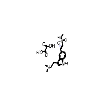 CN(C)CCc1c[nH]c2ccc(/C=C/S(=O)(=O)N(C)C)cc12.O=C(O)C(=O)O